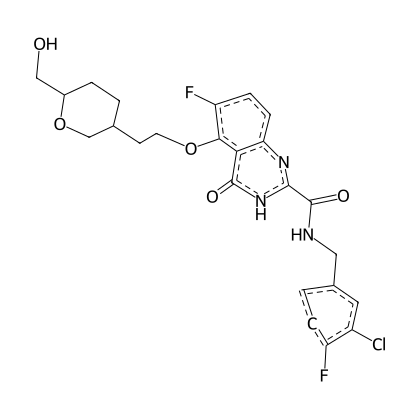 O=C(NCc1ccc(F)c(Cl)c1)c1nc2ccc(F)c(OCCC3CCC(CO)OC3)c2c(=O)[nH]1